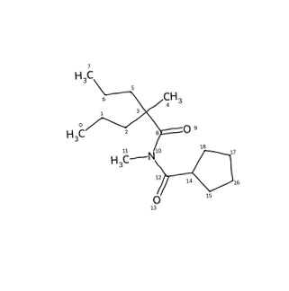 CCCC(C)(CCC)C(=O)N(C)C(=O)C1CCCC1